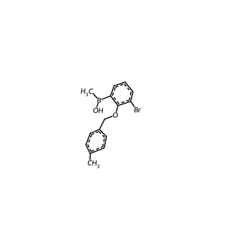 CB(O)c1cccc(Br)c1OCc1ccc(C)cc1